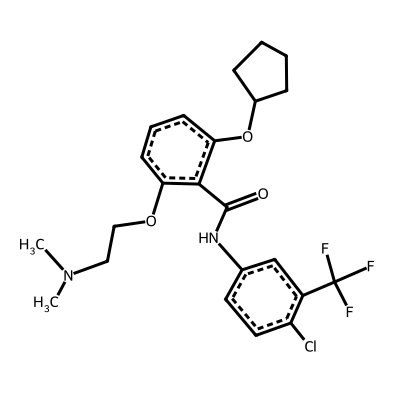 CN(C)CCOc1cccc(OC2CCCC2)c1C(=O)Nc1ccc(Cl)c(C(F)(F)F)c1